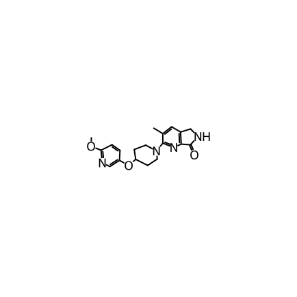 COc1ccc(OC2CCN(c3nc4c(cc3C)CNC4=O)CC2)cn1